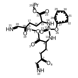 CC(C)OC(=O)C(CCC(=O)C=N)NP(=O)(NC(CCC(=O)C=N)C(=O)OC(C)C)Oc1ccccc1